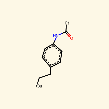 CCC(=O)Nc1ccc(CCC(C)(C)C)cc1